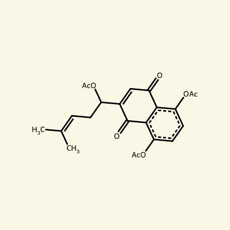 CC(=O)Oc1ccc(OC(C)=O)c2c1C(=O)C=C(C(CC=C(C)C)OC(C)=O)C2=O